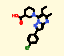 CCc1c(C)nc2cc(-c3ccc(Cl)cc3)nn2c1N1CCCC(C(=O)O)C1